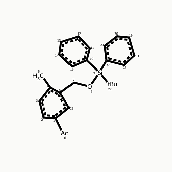 CC(=O)c1ccc(C)c(CO[Si](c2ccccc2)(c2ccccc2)C(C)(C)C)c1